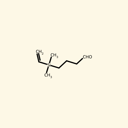 C=C[Si](C)(C)CCCC=O